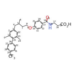 Cc1cc(CC(C)CCOc2ccc(C(=O)NCCC(=O)O)cc2)cc(C)c1-c1ccc(C(F)(F)F)cc1